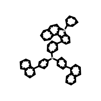 c1ccc(-n2c3cccc(-c4cccc(N(c5ccc(-c6cccc7ccccc67)cc5)c5ccc(-c6cccc7ccccc67)cc5)c4)c3c3c4ccccc4ccc32)cc1